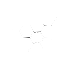 CC(C)=Nc1c(C)c(CCC(C)C)c(C)c(Br)c1Br